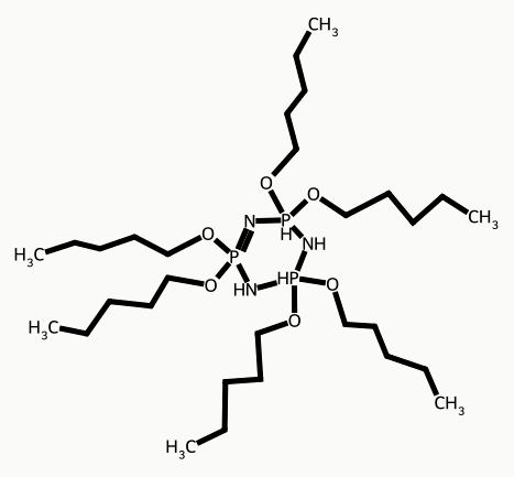 CCCCCOP1(OCCCCC)=N[PH](OCCCCC)(OCCCCC)N[PH](OCCCCC)(OCCCCC)N1